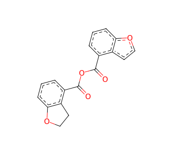 O=C(OC(=O)c1cccc2occc12)c1cccc2c1CCO2